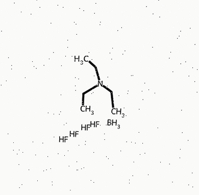 B.CCN(CC)CC.F.F.F.F